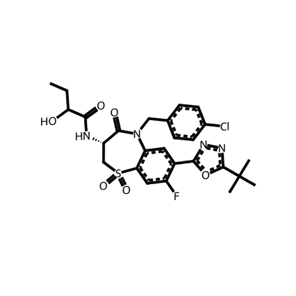 CCC(O)C(=O)N[C@H]1CS(=O)(=O)c2cc(F)c(-c3nnc(C(C)(C)C)o3)cc2N(Cc2ccc(Cl)cc2)C1=O